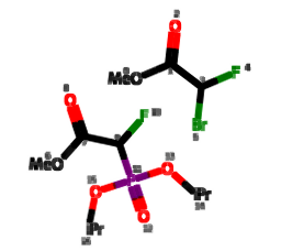 COC(=O)C(F)Br.COC(=O)C(F)P(=O)(OC(C)C)OC(C)C